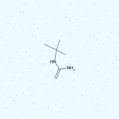 C=C(N)NC(C)(C)C